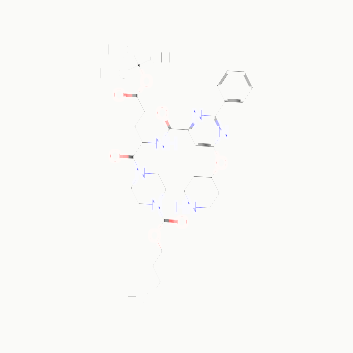 CCCCOC(=O)N1CCN(C(=O)C(CCC(=O)OC(C)(C)C)NC(=O)c2cc(OC3CCNCC3)nc(-c3ccccc3)n2)CC1